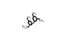 C=Cc1cc(C=C)cc(Cc2cc(C=C)cc(C=C)c2)c1